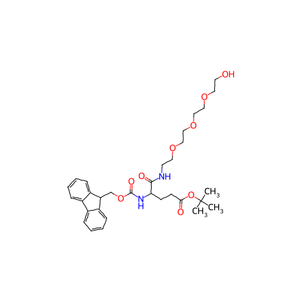 CC(C)(C)OC(=O)CCC(NC(=O)OCC1c2ccccc2-c2ccccc21)C(=O)NCCOCCOCCOCCO